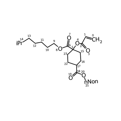 C=CC(=O)OC1(C(=O)OCCCCCC(C)C)CCC(C(=O)OCCCCCCCCC)CC1